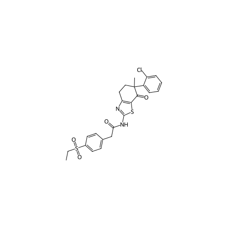 CCS(=O)(=O)c1ccc(CC(=O)Nc2nc3c(s2)C(=O)C(C)(c2ccccc2Cl)CC3)cc1